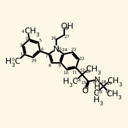 Cc1cc(C)cc(-c2cc3cc(C(C)(C)C(=O)NC(C)(C)C)ccc3n2CCO)c1